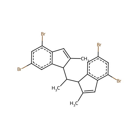 CC1=Cc2c(Br)cc(Br)cc2C1C(C)C1C(C)=Cc2c(Br)cc(Br)cc21